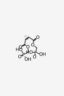 O=C(/C=C\C(=O)OCP(=O)(O)O)OCP(=O)(O)O